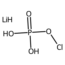 O=P(O)(O)OCl.[LiH]